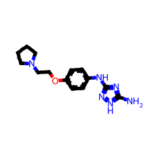 Nc1nc(Nc2ccc(OCCN3CCCC3)cc2)n[nH]1